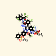 CC(C)(C)S(=O)(=O)c1ccccc1-c1ccc2c(=O)n(-c3ccc(Cl)c4c(NS(C)(=O)=O)nn(CC(F)F)c34)c([C@H](Cc3cc(F)cc(F)c3)NC(=O)Cn3nc(C(F)F)c4c3C(F)(F)[C@@H]3C[C@H]43)nc2c1